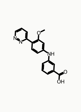 COc1cc(Nc2cccc(C(=O)O)c2)ccc1-c1cccnn1